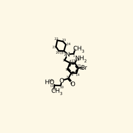 CCN(Cc1cc(C(=O)OCC(C)O)cc(Br)c1N)C1CCCCC1